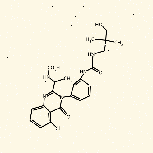 CC(NC(=O)O)c1nc2cccc(Cl)c2c(=O)n1-c1cccc(NC(=O)NCC(C)(C)CO)c1